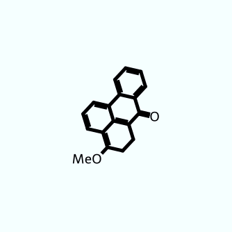 COC1=c2cccc3c2=C(CC1)C(=O)c1ccccc1-3